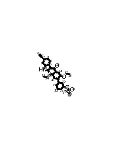 C#Cc1ccc2c(c1)[nH]c1c2c(=O)c2cc(OCC)c(-c3cccc(OS(=O)(=O)F)c3)cc2n1CC